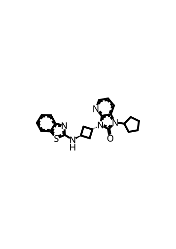 O=c1n(C2CCCC2)c2cccnc2n1[C@H]1C[C@H](Nc2nc3ccccc3s2)C1